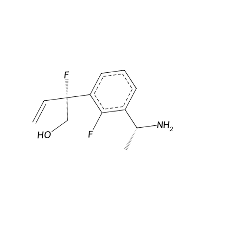 C=C[C@](F)(CO)c1cccc([C@@H](C)N)c1F